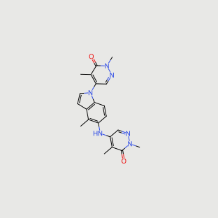 Cc1c(Nc2ccc3c(ccn3-c3cnn(C)c(=O)c3C)c2C)cnn(C)c1=O